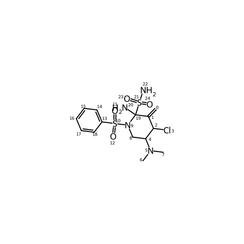 C=C1C(Cl)C(N(C)C)CN(S(=O)(=O)c2ccccc2)C1(N)S(N)(=O)=O